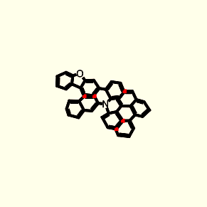 c1ccc(-c2cccc3cccc(-c4ccccc4N(c4ccc5ccccc5c4)c4ccccc4-c4ccc5c(c4)oc4ccccc45)c23)cc1